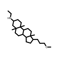 CCNC1CCC2(C)C3CCC4(C)C(CCCOC)CCC4C3CCC2(C)C1